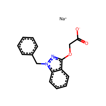 O=C([O-])COc1nn(Cc2ccccc2)c2ccccc12.[Na+]